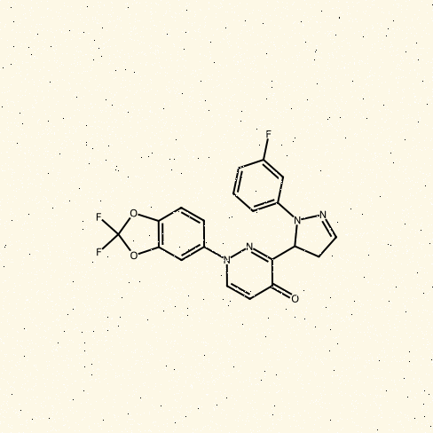 O=c1ccn(-c2ccc3c(c2)OC(F)(F)O3)nc1C1CC=NN1c1cccc(F)c1